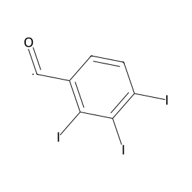 O=[C]c1ccc(I)c(I)c1I